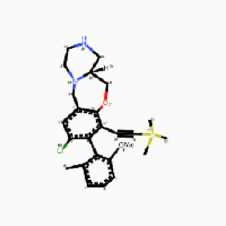 COc1cccc(C)c1-c1c(Cl)cc2c(c1C#CS(C)(C)C)OC[C@H]1CNCCN1C2